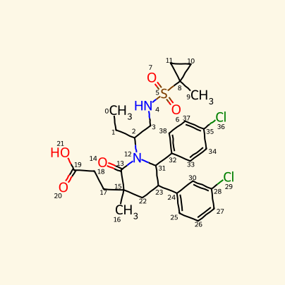 CCC(CNS(=O)(=O)C1(C)CC1)N1C(=O)C(C)(CCC(=O)O)CC(c2cccc(Cl)c2)C1c1ccc(Cl)cc1